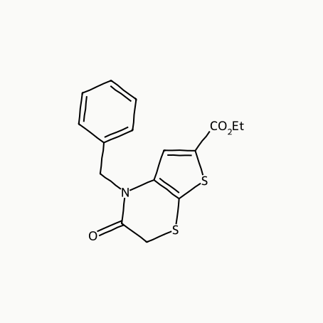 CCOC(=O)c1cc2c(s1)SCC(=O)N2Cc1ccccc1